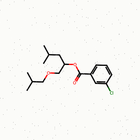 CC(C)COCC(CC(C)C)OC(=O)c1cccc(Cl)c1